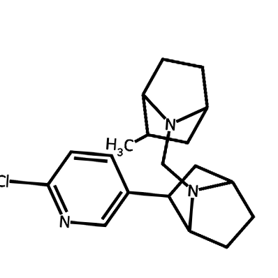 CC1CC2CCC1N2CN1C2CCC1C(c1ccc(Cl)nc1)C2